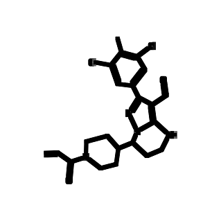 C=CC(=O)N1CCC(C2CCNc3c(C=O)c(-c4cc(Cl)c(C)c(Cl)c4)nn32)CC1